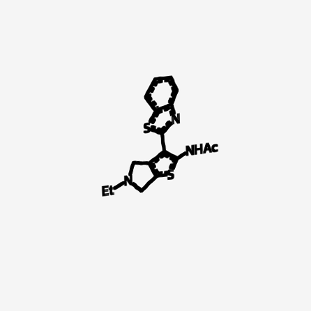 CCN1Cc2sc(NC(C)=O)c(-c3nc4ccccc4s3)c2C1